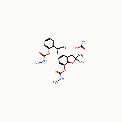 CNC(=O)Oc1cccc2c1OC(C)(C)C2.CNC(=O)Oc1ccccc1C(C)C.NC(=O)O